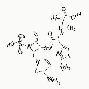 CC(C)(O/N=C(\C(=O)NC1C(=O)N(S(=O)(=O)O)C1Cn1ccc(N)n1)c1csc(N)n1)C(=O)O